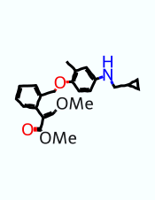 CO/C=C(/C(=O)OC)c1ccccc1COc1ccc(NCC2CC2)cc1C